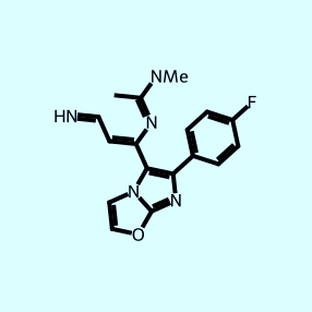 CN/C(C)=N/C(=C\C=N)c1c(-c2ccc(F)cc2)nc2occn12